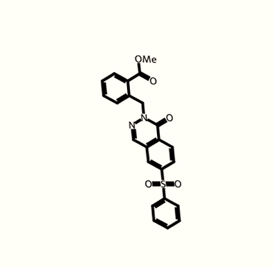 COC(=O)c1ccccc1Cn1ncc2cc(S(=O)(=O)c3ccccc3)ccc2c1=O